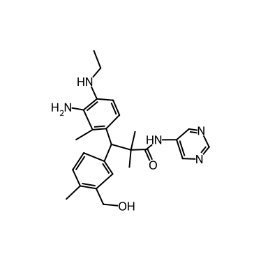 CCNc1ccc(C(c2ccc(C)c(CO)c2)C(C)(C)C(=O)Nc2cncnc2)c(C)c1N